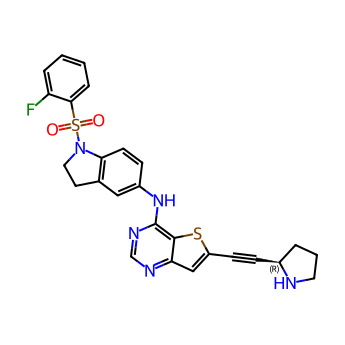 O=S(=O)(c1ccccc1F)N1CCc2cc(Nc3ncnc4cc(C#C[C@H]5CCCN5)sc34)ccc21